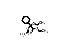 CCOC([SiH3])C(OCC)(OCC)C1CCCCC1